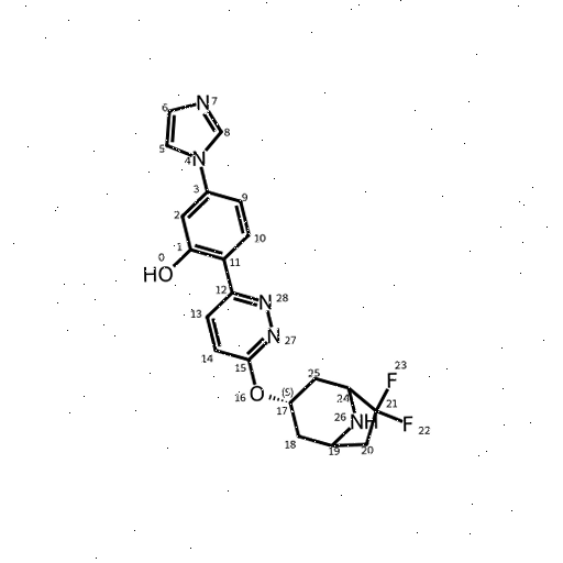 Oc1cc(-n2ccnc2)ccc1-c1ccc(O[C@H]2CC3CC(F)(F)C(C2)N3)nn1